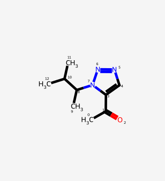 CC(=O)c1cnnn1C(C)C(C)C